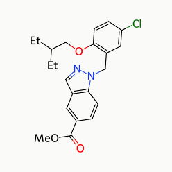 CCC(CC)COc1ccc(Cl)cc1Cn1ncc2cc(C(=O)OC)ccc21